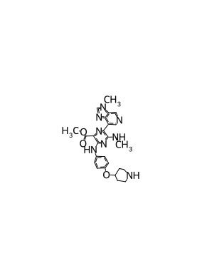 CNc1nc(Nc2ccc(OC3CCNCC3)cc2)c(C(=O)OC)nc1-c1cncc2c1ncn2C